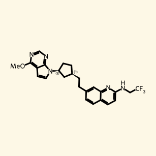 COc1ncnc2c1ccn2[C@H]1CC[C@@H](CCc2ccc3ccc(NCC(F)(F)F)nc3c2)C1